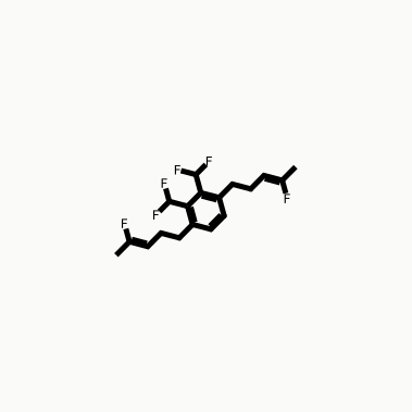 C/C(F)=C/CCc1ccc(CC/C=C(/C)F)c(C(F)F)c1C(F)F